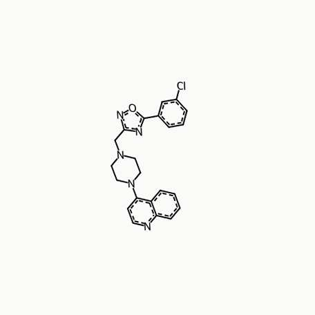 Clc1cccc(-c2nc(CN3CCN(c4ccnc5ccccc45)CC3)no2)c1